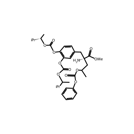 COC(=O)[C@](N)(Cc1ccc(OC(=O)O[C@@H](C)C(C)C)c(OC(=O)OC(C)C(C)C)c1)CC(C)OC(=O)Oc1ccccc1